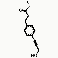 COC(=O)CCc1ccc(C#CCO)cc1